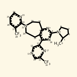 CC1CCCN1c1nc2c(c(-c3[c]ncc(C(F)(F)F)n3)n1)CCN(c1ncccc1C(F)(F)F)CC2